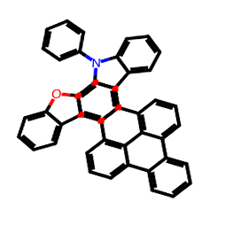 c1ccc(-n2c3ccccc3c3cc(-c4cccc5c6ccccc6c6cccc(-c7ccc8oc9ccccc9c8c7)c6c45)ccc32)cc1